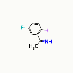 CC(=N)c1cc(F)ccc1I